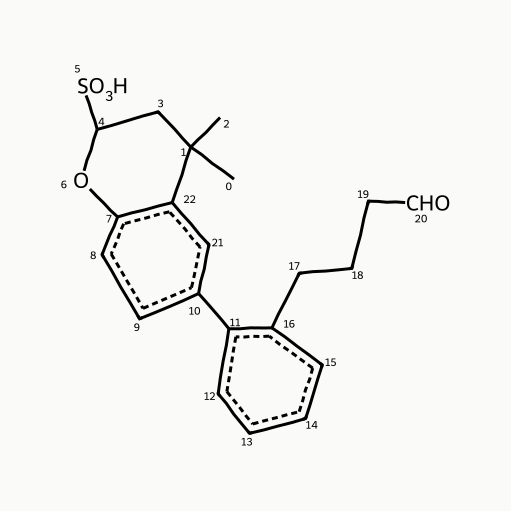 CC1(C)CC(S(=O)(=O)O)Oc2ccc(-c3ccccc3CCCC=O)cc21